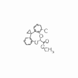 COC(=O)C1Oc2ccccc2C2(CC2)c2cccc(Cl)c2O1